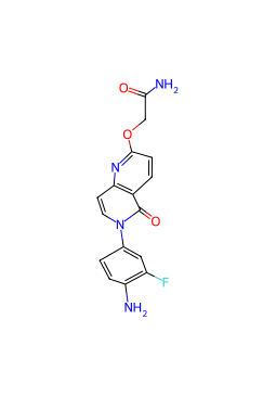 NC(=O)COc1ccc2c(=O)n(-c3ccc(N)c(F)c3)ccc2n1